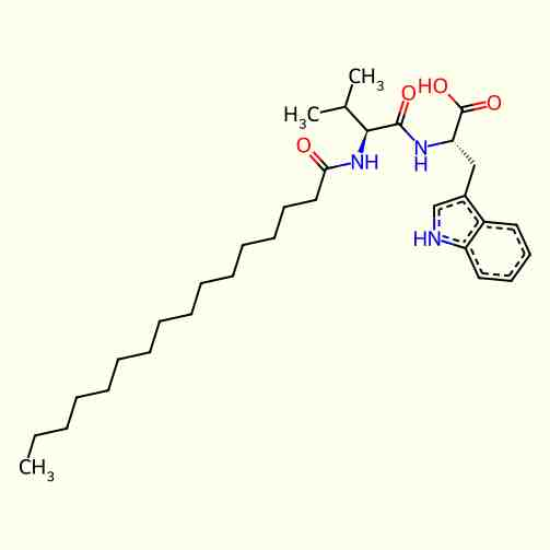 CCCCCCCCCCCCCCCC(=O)N[C@H](C(=O)N[C@@H](Cc1c[nH]c2ccccc12)C(=O)O)C(C)C